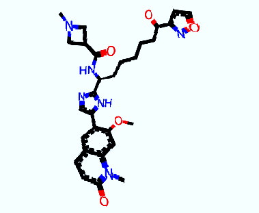 COc1cc2c(ccc(=O)n2C)cc1-c1cnc([C@H](CCCCCC(=O)c2ccon2)NC(=O)C2CN(C)C2)[nH]1